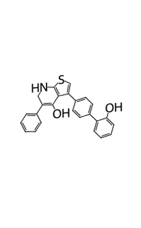 OC1=C(c2ccccc2)CNc2scc(-c3ccc(-c4ccccc4O)cc3)c21